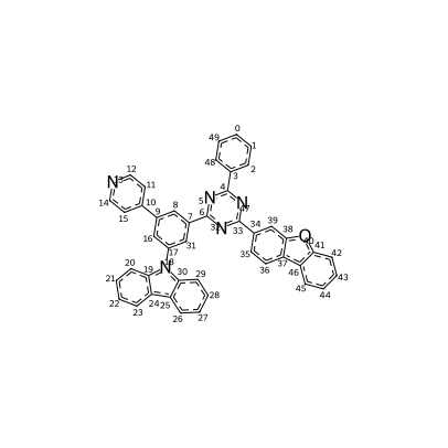 c1ccc(-c2nc(-c3cc(-c4ccncc4)cc(-n4c5ccccc5c5ccccc54)c3)nc(-c3ccc4c(c3)oc3ccccc34)n2)cc1